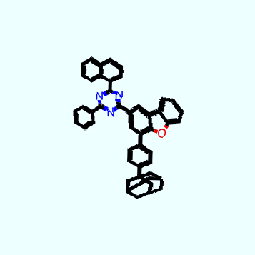 c1ccc(-c2nc(-c3cc(-c4ccc(C56CC7CC(CC(C7)C5)C6)cc4)c4oc5ccccc5c4c3)nc(-c3cccc4ccccc34)n2)cc1